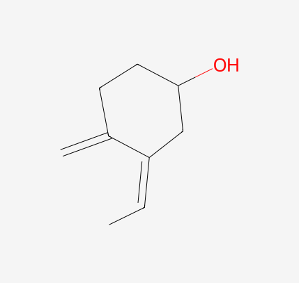 C=C1CCC(O)C/C1=C/C